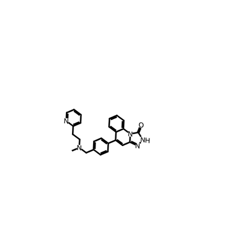 CN(CCc1ccccn1)Cc1ccc(-c2cc3n[nH]c(=O)n3c3ccccc23)cc1